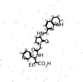 CCC(C(=O)O)[C@H](NC(=O)CN1CC[C@H](NCc2ccc3c(n2)NCCC3)C1=O)c1cccnc1